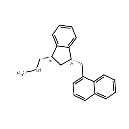 CNC[C@H]1C[C@@H](Cc2cccc3ccccc23)c2ccccc21